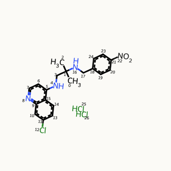 CC(C)(CNc1ccnc2cc(Cl)ccc12)NCc1ccc([N+](=O)[O-])cc1.Cl.Cl